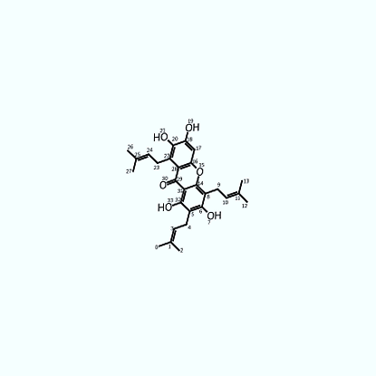 CC(C)=CCc1c(O)c(CC=C(C)C)c2oc3cc(O)c(O)c(CC=C(C)C)c3c(=O)c2c1O